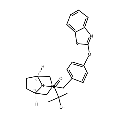 CC(C)(O)C(=O)N1[C@@H]2CC[C@H]1CN(Cc1ccc(Oc3nc4ccccc4s3)cc1)C2